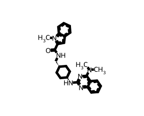 CN(C)c1nc(N[C@H]2CC[C@@H](CNC(=O)c3cc4ccccc4n3C)CC2)nc2ccccc12